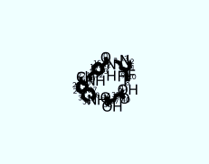 O=C(NCc1cc(C(F)(F)F)ccn1)c1ccc(CNc2c(Cl)ccc3c2CCNCC3)cc1.O=C(O)CCC(=O)O